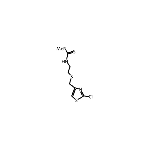 CNC(=S)NCCSCc1csc(Cl)n1